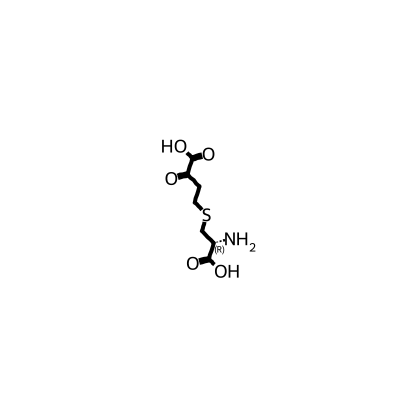 N[C@@H](CSCCC(=O)C(=O)O)C(=O)O